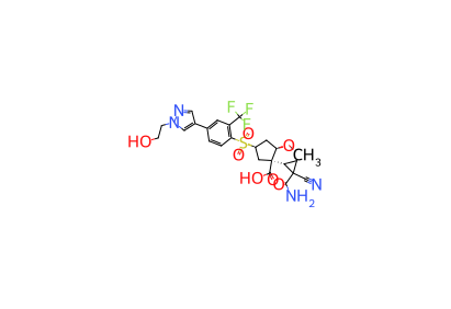 CO[C@@H]1C[C@H](S(=O)(=O)c2ccc(-c3cnn(CCO)c3)cc2C(F)(F)F)C[C@@]1(C(=O)O)C1CC1(C#N)C(N)=O